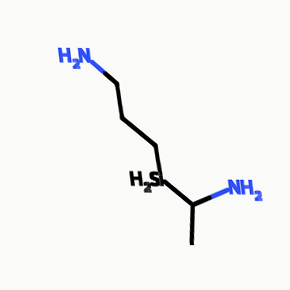 CC(N)[SiH2]CCCN